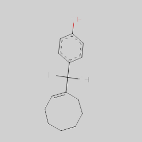 CCC(C)(C1=CCCCCCC1)c1ccc(O)cc1